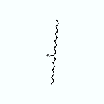 CCCCCCCCCCC(O)CCCCCCCC